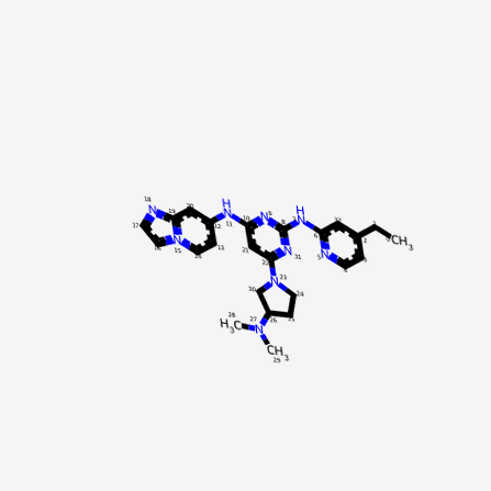 CCc1ccnc(Nc2nc(Nc3ccn4ccnc4c3)cc(N3CCC(N(C)C)C3)n2)c1